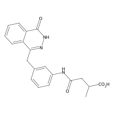 CC(CC(=O)Nc1cccc(Cc2n[nH]c(=O)c3ccccc23)c1)C(=O)O